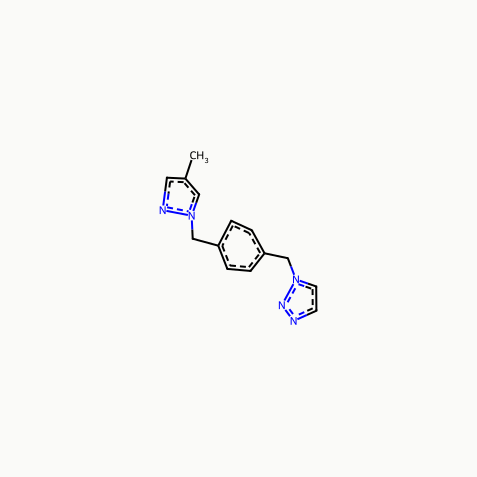 Cc1cnn(Cc2ccc(Cn3ccnn3)cc2)c1